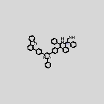 N=C/C(=C1\NC(c2ccccc2)=C(c2ccc(-c3cc(-c4ccc(-c5cccc6c5oc5ccccc56)cc4)nc(-c4ccccc4)n3)cc2)c2ccccc21)c1ccccc1